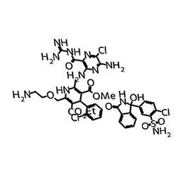 CCOC(=O)C1=C(COCCN)NC(C)=C(C(=O)OC)C1c1ccccc1Cl.N=C(N)NC(=O)c1nc(Cl)c(N)nc1N.NS(=O)(=O)c1cc(C2(O)NC(=O)c3ccccc32)ccc1Cl